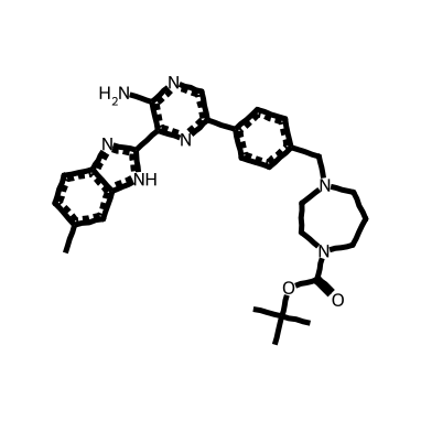 Cc1ccc2nc(-c3nc(-c4ccc(CN5CCCN(C(=O)OC(C)(C)C)CC5)cc4)cnc3N)[nH]c2c1